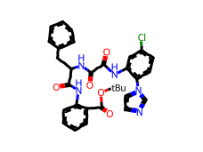 CC(C)(C)OC(=O)c1ccccc1NC(=O)C(Cc1ccccc1)NC(=O)C(=O)Nc1cc(Cl)ccc1-n1ccnc1